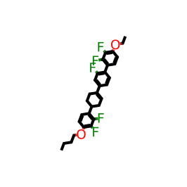 CCCCOc1ccc(C2CC=C(c3ccc(-c4ccc(OCC)c(F)c4F)c(F)c3)CC2)c(F)c1F